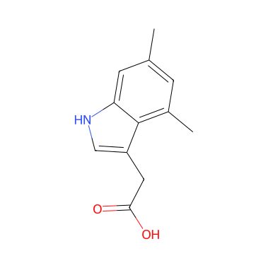 Cc1cc(C)c2c(CC(=O)O)c[nH]c2c1